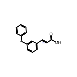 O=C(O)/C=C/c1cccc([CH]c2ccccc2)c1